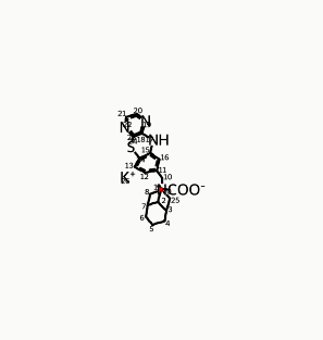 O=C([O-])CC1C2CCCC1CN(Cc1ccc3c(c1)Nc1nccnc1S3)C2.[K+]